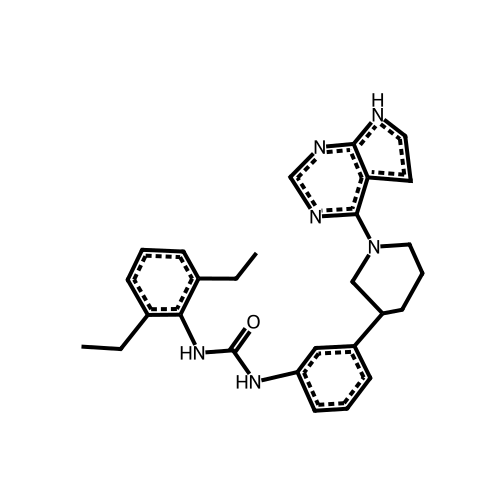 CCc1cccc(CC)c1NC(=O)Nc1cccc(C2CCCN(c3ncnc4[nH]ccc34)C2)c1